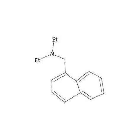 CCN(CC)Cc1cc[c]c2ccccc12